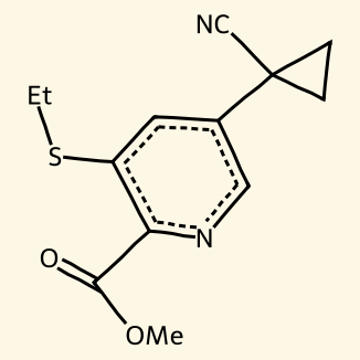 CCSc1cc(C2(C#N)CC2)cnc1C(=O)OC